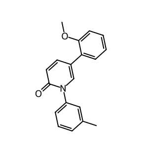 COc1ccccc1-c1ccc(=O)n(-c2cccc(C)c2)c1